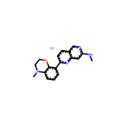 CNc1cc2nc(-c3cccc4c3OCCN4C)ccc2cn1.Cl